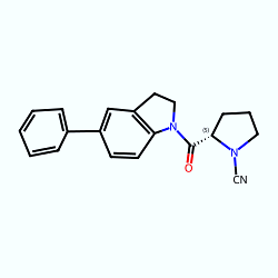 N#CN1CCC[C@H]1C(=O)N1CCc2cc(-c3ccccc3)ccc21